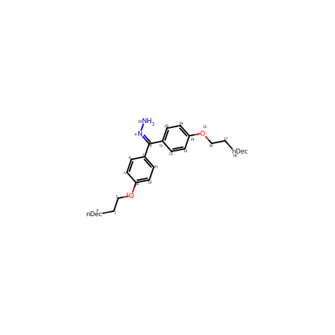 CCCCCCCCCCCCOc1ccc(C(=NN)c2ccc(OCCCCCCCCCCCC)cc2)cc1